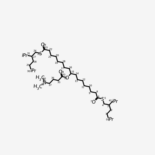 CC(C)CCC(CSC(=O)CCCCCCCC(CCCCCCCC(=O)SCC(CCC(C)C)C(C)C)OC(=O)CCCN(C)C)C(C)C